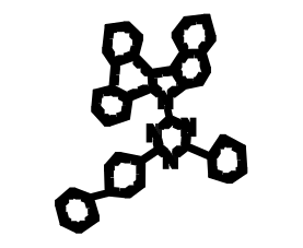 c1ccc(-c2ccc(-c3nc(-c4ccccc4)nc(-n4c5ccc6ccccc6c5c5c6ccccc6c6ccccc6c54)n3)cc2)cc1